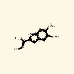 COc1cc2cc(C(C)=NO)sc2cc1OC